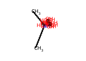 CCCCCCCCCCCCCCCCCCCCCCCC(=O)N[C@@H](COP(=O)(O)O[C@H]1C(O)C(O)C(O)[C@@H](O)C1O[C@H]1O[C@H](CO)[C@@H](O)C(O)C1O)[C@H](O)[C@H](O)CCCCCCCCCCCCCCCC